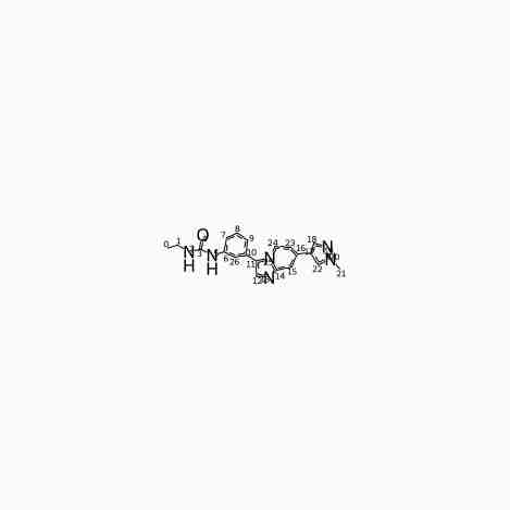 CCNC(=O)Nc1cccc(-c2cnc3cc(-c4cnn(C)c4)ccn23)c1